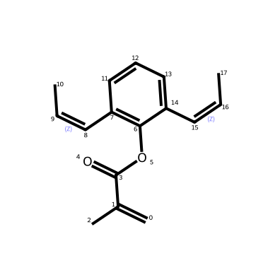 C=C(C)C(=O)Oc1c(/C=C\C)cccc1/C=C\C